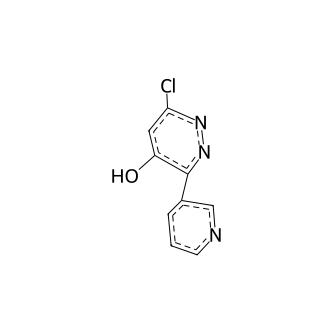 Oc1cc(Cl)nnc1-c1cccnc1